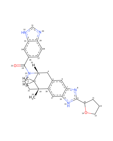 CC1(C)[C@H]2Cc3cc4nc(C5CCCO5)[nH]c4cc3[C@]1(C)CCN2C(=O)c1ccc2nc[nH]c2c1